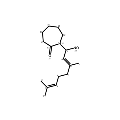 CC(C)=CCC/C(C)=C/C(N=O)N1CCCCCC1=O